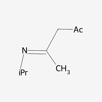 CC(=O)C/C(C)=N/C(C)C